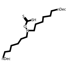 CCCCCCCCCCCCCCCCN(CCCCCCCCCCCCCCCC)OC(=S)S